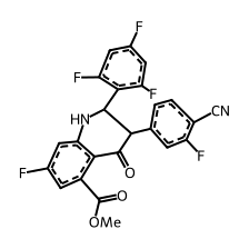 COC(=O)c1cc(F)cc2c1C(=O)C(c1ccc(C#N)c(F)c1)C(c1c(F)cc(F)cc1F)N2